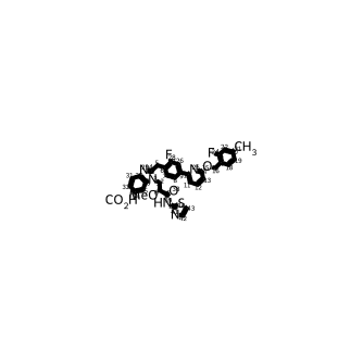 CO[C@H](Cn1c(Cc2ccc(-c3cccc(OCc4ccc(C)cc4F)n3)cc2F)nc2ccc(C(=O)O)cc21)C(=O)Nc1nccs1